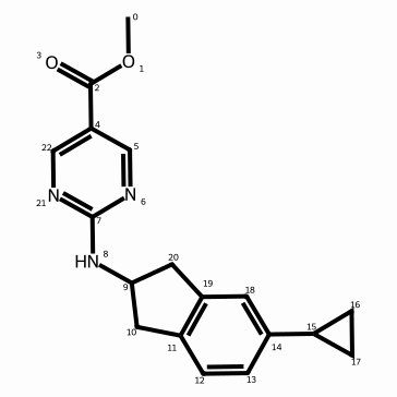 COC(=O)c1cnc(NC2Cc3ccc(C4CC4)cc3C2)nc1